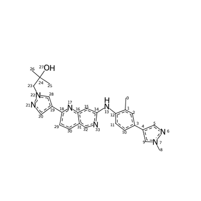 Cc1cc(-c2cnn(C)c2)ccc1Nc1cc2nc(-c3cnn(CC(C)(C)O)c3)ccc2cn1